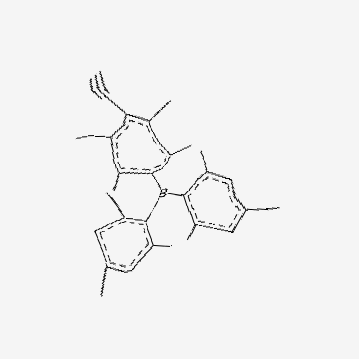 C#Cc1c(C)c(C)c(B(c2c(C)cc(C)cc2C)c2c(C)cc(C)cc2C)c(C)c1C